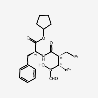 CCC[C@@H]([C@@H](CC(C)C)C(=O)N[C@@H](Cc1ccccc1)C(=O)OC1CCCC1)N(O)C=O